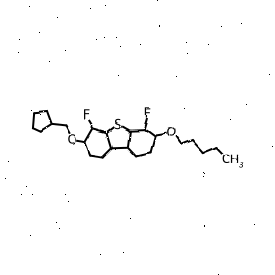 CCCCCOC1CCC2C3CCC(OCC4CCCC4)C(F)C3SC2C1F